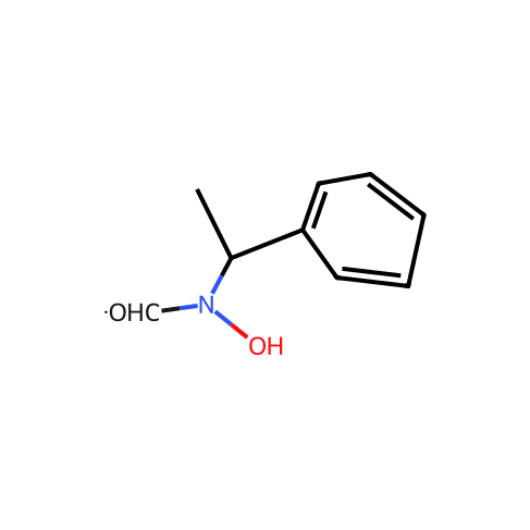 CC(c1ccccc1)N(O)[C]=O